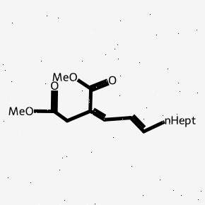 CCCCCCCC=CC=C(CC(=O)OC)C(=O)OC